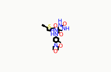 C#Cc1ccc(C(=O)NC2(C(=O)Nc3ccc(N4CCOCC4=O)c(C)c3)CNC(=O)NC2)s1